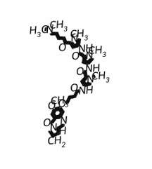 C=C1C[C@H]2C=Nc3cc(OCCCC(=O)Nc4cc(C(=O)Nc5cc(C(=O)Nc6cc(C(=O)CCCCN(C)C)n(C)c6)n(C)c5)n(C)c4)c(OC)cc3C(=O)N2C1